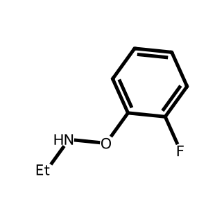 CCNOc1ccccc1F